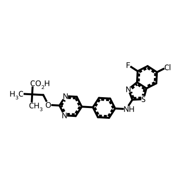 CC(C)(COc1ncc(-c2ccc(Nc3nc4c(F)cc(Cl)cc4s3)cc2)cn1)C(=O)O